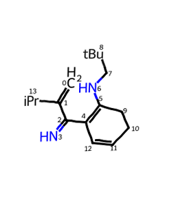 C=C(C(=N)C1=C(NCC(C)(C)C)CCC=C1)C(C)C